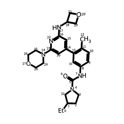 CCC1CCN(C(=O)Nc2ccc(C)c(-c3cc(NC4COC4)nc(N4CCOCC4)c3)c2)C1